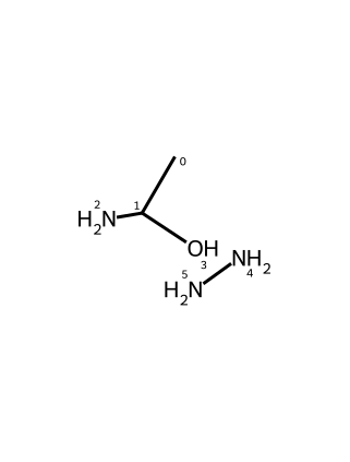 CC(N)O.NN